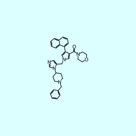 O=C(c1cn(Cc2cncn2C2CCN(Cc3ccccc3)CC2)cc1-c1cccc2ccccc12)N1CCOCC1